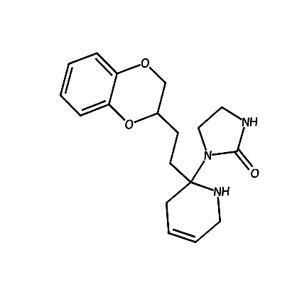 O=C1NCCN1C1(CCC2COc3ccccc3O2)CC=CCN1